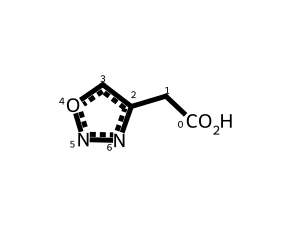 O=C(O)Cc1conn1